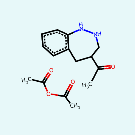 CC(=O)C1CNNc2ccccc2C1.CC(=O)OC(C)=O